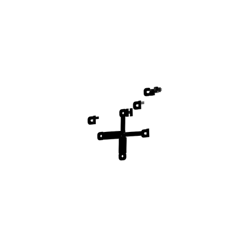 O=S(=O)(O)Cl.[Ca+2].[Cl-].[Cl-]